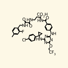 Cc1ccc(CNC(=O)C(=O)NCC[C@H](NC(=O)c2ccc(Nc3nc(NC4(c5ccc(Cl)cc5)CC4)nc(OCC(F)(F)F)n3)cc2)C(=O)O)c(F)c1